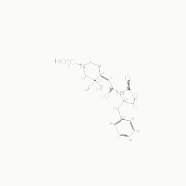 O=C(O)N1CCC(=CC(=O)N2C(=O)OCC2Cc2ccccc2)C(F)(F)C1